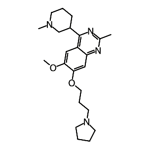 COc1cc2c(C3CCCN(C)C3)nc(C)nc2cc1OCCCN1CCCC1